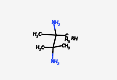 CC(C)(N)C(C)(C)N.[KH]